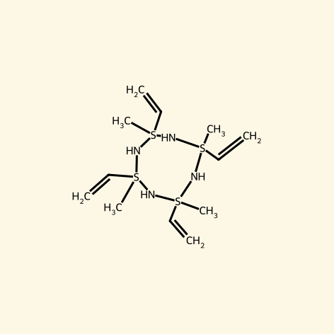 C=CS1(C)NS(C)(C=C)NS(C)(C=C)NS(C)(C=C)N1